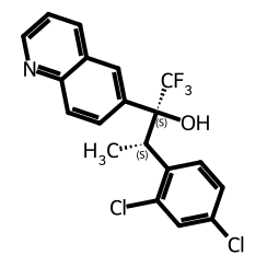 C[C@@H](c1ccc(Cl)cc1Cl)[C@](O)(c1ccc2ncccc2c1)C(F)(F)F